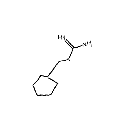 N=C(N)SCC1CCCCC1